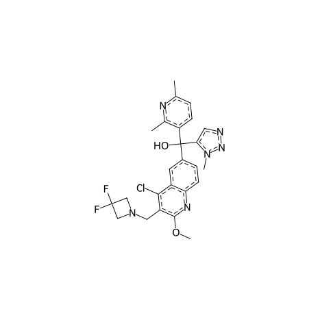 COc1nc2ccc(C(O)(c3ccc(C)nc3C)c3cnnn3C)cc2c(Cl)c1CN1CC(F)(F)C1